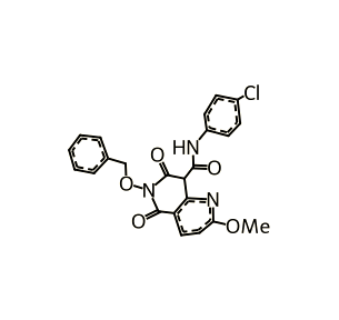 COc1ccc2c(n1)C(C(=O)Nc1ccc(Cl)cc1)C(=O)N(OCc1ccccc1)C2=O